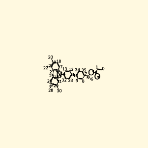 C=CC(=O)OC(C)c1ccc(-c2ccc(N(c3ccc(C)c(C)c3)c3ccc(C)c(C)c3)cc2)cc1